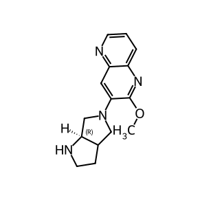 COc1nc2cccnc2cc1N1CC2CCN[C@H]2C1